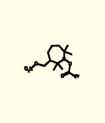 CC(C)C(=O)ON1C(C)(C)CCCC(CO[N+](=O)[O-])C1(C)C